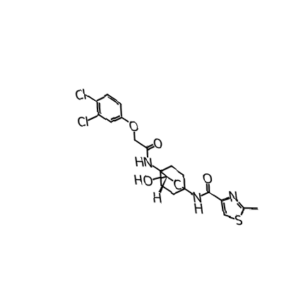 Cc1nc(C(=O)NC23CCC(NC(=O)COc4ccc(Cl)c(Cl)c4)(CC2)[C@@H](O)C3)cs1